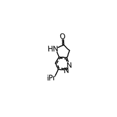 CC(C)c1cc2c(nn1)CC(=O)N2